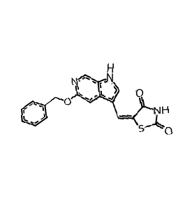 O=C1NC(=O)C(=Cc2c[nH]c3cnc(OCc4ccccc4)cc23)S1